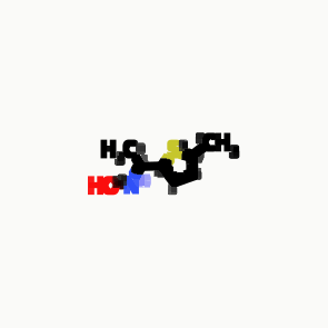 C/C(=N\O)c1ccc(C)s1